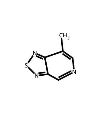 Cc1cncc2nsnc12